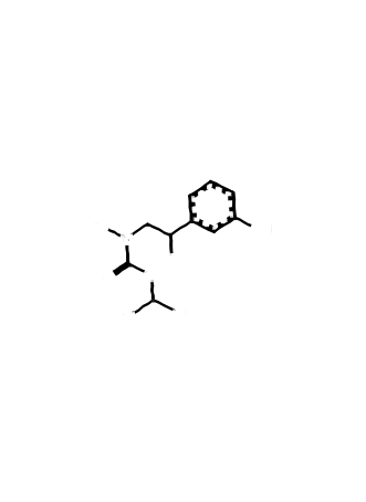 CCN(CC(O)c1cccc(O)c1)C(=O)OC(Cl)C(C)C